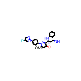 COc1cc(-n2cc(F)cn2)ccc1-n1ccc(=O)c(/C(=C/C=N)Nc2ccccc2)n1